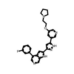 Fc1cccc(-c2cncc3[nH]c(-c4cc(-c5cncc(OCCN6CCCC6)c5)[nH]n4)cc23)c1